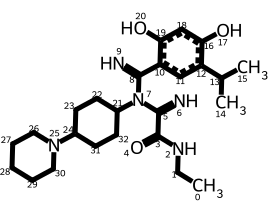 CCNC(=O)C(=N)N(C(=N)c1cc(C(C)C)c(O)cc1O)C1CCC(N2CCCCC2)CC1